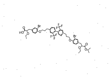 CCOC(Cc1ccc(OCCCc2ccc(-c3ccc(CCCOc4ccc(CC(OCC)C(=O)OC(C)C)cc4Br)cc3C(F)(F)F)c(C(F)(F)F)c2)c(Br)c1)C(=O)O